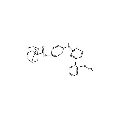 COc1ccccc1-c1ccnc(Nc2ccc(NC(=O)C34CC5CC(CC(C5)C3)C4)cc2)n1